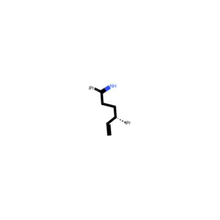 C=C[C@H](CCC(=N)C(C)C)C(C)C